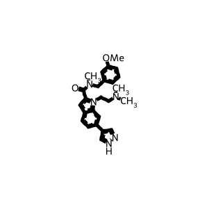 COc1cccc(CN(C)C(=O)c2cc3ccc(-c4cn[nH]c4)cc3n2CCN(C)C)c1